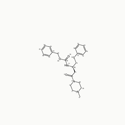 CN1CCN(C(=O)C[C@H](CSc2ccccc2)NC(=O)OCc2ccccc2)CC1